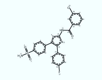 NS(=O)(=O)c1ccc(-c2sc(NC(=O)c3cccc(Cl)c3)nc2-c2ccc(F)cc2)cc1